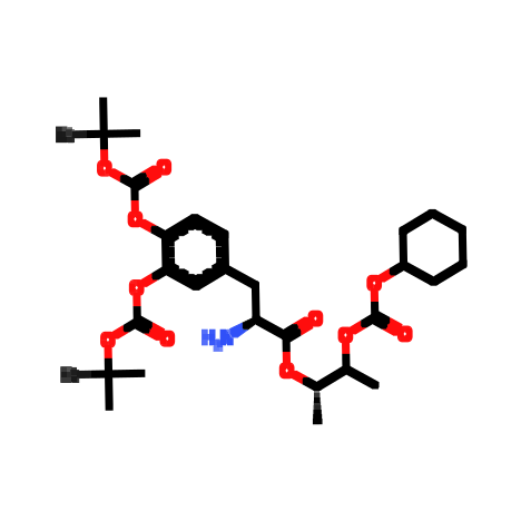 CCC(C)(C)OC(=O)Oc1ccc(C[C@H](N)C(=O)O[C@@H](C)C(C)OC(=O)OC2CCCCC2)cc1OC(=O)OC(C)(C)CC